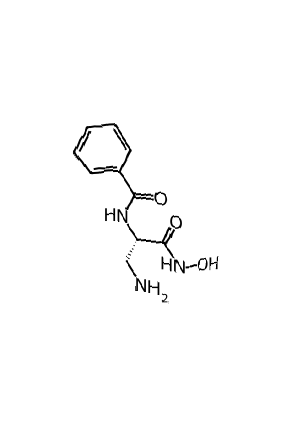 NC[C@H](NC(=O)c1ccccc1)C(=O)NO